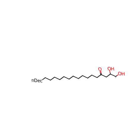 CCCCCCCCCCCCCCCCCCCCCCC(=O)CC(O)[CH]O